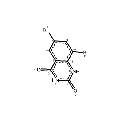 O=c1[nH]c(=O)c2cc(Br)cc(Br)c2[nH]1